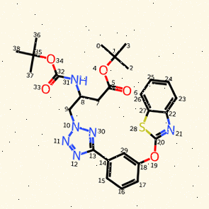 CC(C)(C)OC(=O)CC(Cn1nnc(-c2cccc(Oc3nc4ccccc4s3)c2)n1)NC(=O)OC(C)(C)C